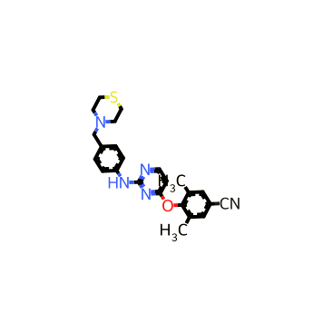 Cc1cc(C#N)cc(C)c1Oc1ccnc(Nc2ccc(CN3CCSCC3)cc2)n1